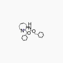 O=C(N[C@@H]1CC=CCC/N=C\1Cc1ccccc1)OCc1ccccc1